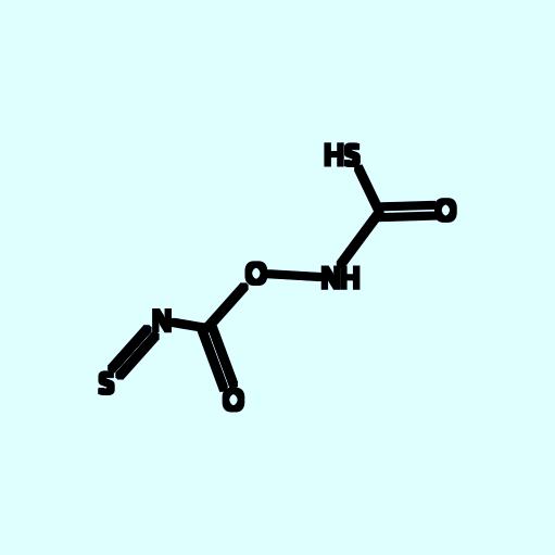 O=C(S)NOC(=O)N=S